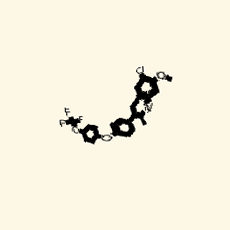 COc1cc2nc(C)c(-c3ccc(Oc4ccc(OC(F)(F)F)cc4)cc3)[c]c2cc1Cl